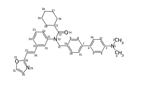 CN(C)c1ccc(-c2ccc(CN(C(=O)C3CCCCC3)c3cccc(/C=C/c4ncco4)c3)cc2)cc1